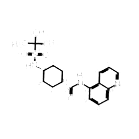 CC(C)(C)S(=O)(=O)N[C@H]1CC[C@H](C(=O)Nc2cccc3ncccc23)CC1